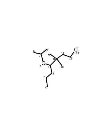 CCCC(OC(C)C)C(C)(C)CCCl